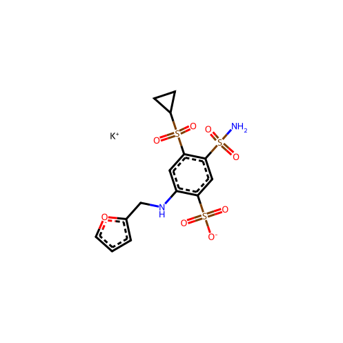 NS(=O)(=O)c1cc(S(=O)(=O)[O-])c(NCc2ccco2)cc1S(=O)(=O)C1CC1.[K+]